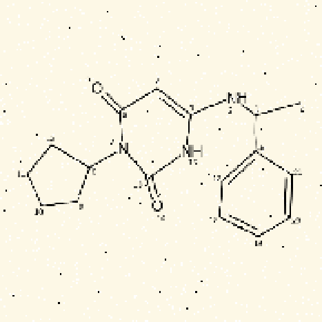 CC(Nc1cc(=O)n(C2CCCC2)c(=O)[nH]1)c1ccccc1